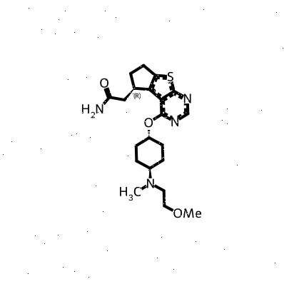 COCCN(C)[C@H]1CC[C@H](Oc2ncnc3sc4c(c23)[C@@H](CC(N)=O)CC4)CC1